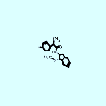 CS[C@H]1c2ccccc2C[C@@H]1NC(=O)C(C)c1ccc(F)cc1